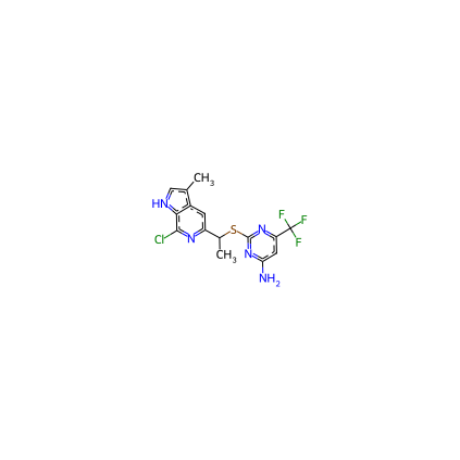 Cc1c[nH]c2c(Cl)nc(C(C)Sc3nc(N)cc(C(F)(F)F)n3)cc12